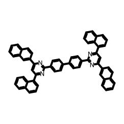 c1ccc2cc(-c3cc(-c4cccc5ccccc45)nc(-c4ccc(-c5ccc(-c6nc(-c7ccc8ccccc8c7)cc(-c7cccc8ccccc78)n6)cc5)cc4)n3)ccc2c1